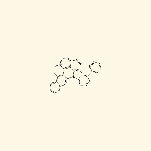 Cc1c2ccccc2cc2c1c1c3c(ccc4c5c(-c6ccccn6)cccc5n2c43)cc[n+]1C